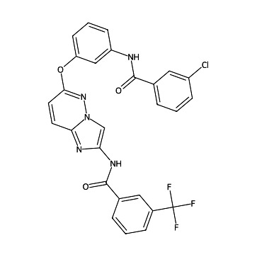 O=C(Nc1cccc(Oc2ccc3nc(NC(=O)c4cccc(C(F)(F)F)c4)cn3n2)c1)c1cccc(Cl)c1